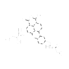 O=C(CCl)NCc1ccc2oc3c(CNC(O)CCl)cc4c(=O)oc(=O)c5ccc(c2c1)c3c54